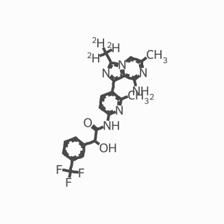 [2H]C([2H])([2H])c1nc(-c2ccc(NC(=O)C(O)c3cccc(C(F)(F)F)c3)nc2C)c2c(N)nc(C)cn12